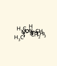 C=N/C(=C\C=C(C)C)Nc1ccc(/N=C\C=C/C)c(C)c1